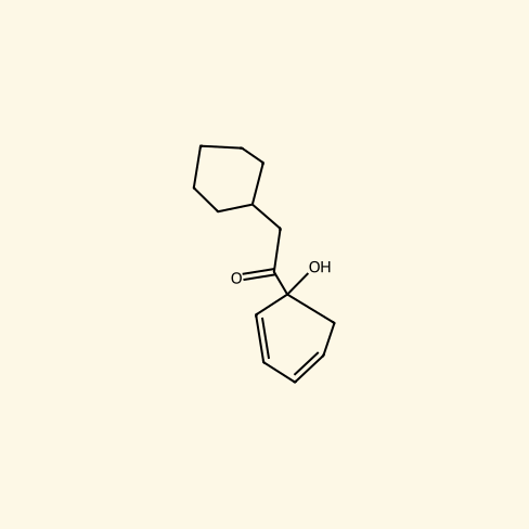 O=C(CC1CCCCC1)C1(O)C=CC=CC1